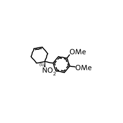 COc1ccc([C@@]2([N+](=O)[O-])CC=CCC2)cc1OC